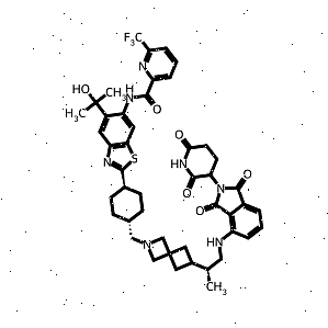 C[C@H](CNc1cccc2c1C(=O)N(C1CCC(=O)NC1=O)C2=O)C1CC2(C1)CN(C[C@H]1CC[C@H](c3nc4cc(C(C)(C)O)c(NC(=O)c5cccc(C(F)(F)F)n5)cc4s3)CC1)C2